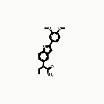 CCC(C(N)=O)c1ccc2oc(-c3ccc(OC)c(OC)c3)cc2c1